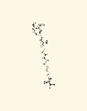 C=C(C)C(=O)OCCCCCCCCCCOC(=O)/C=C/c1ccc(OC)c(OC)c1